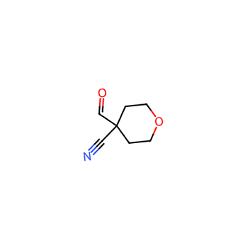 N#CC1(C=O)CCOCC1